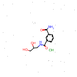 Cl.NC(=O)c1cccc(C(=O)NCC(O)CO)c1